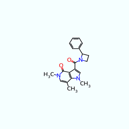 Cc1cn(C)c(=O)c2c(C(=O)N3CCC3c3ccccc3)cn(C)c12